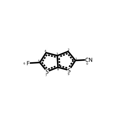 N#Cc1cc2cc(F)sc2s1